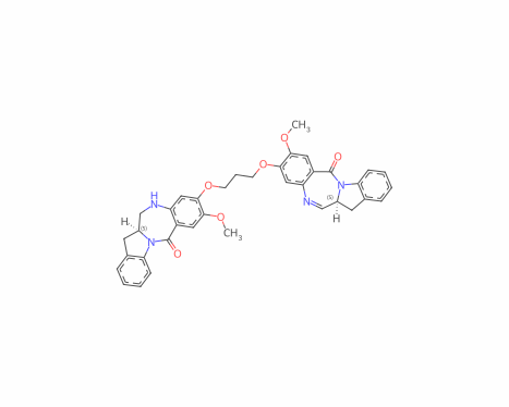 COc1cc2c(cc1OCCCOc1cc3c(cc1OC)C(=O)N1c4ccccc4C[C@H]1CN3)N=C[C@@H]1Cc3ccccc3N1C2=O